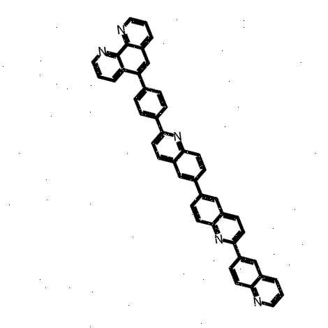 c1cnc2ccc(-c3ccc4cc(-c5ccc6nc(-c7ccc(-c8cc9cccnc9c9ncccc89)cc7)ccc6c5)ccc4n3)cc2c1